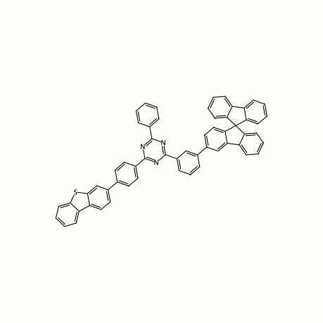 c1ccc(-c2nc(-c3ccc(-c4ccc5c(c4)sc4ccccc45)cc3)nc(-c3cccc(-c4ccc5c(c4)-c4ccccc4C54c5ccccc5-c5ccccc54)c3)n2)cc1